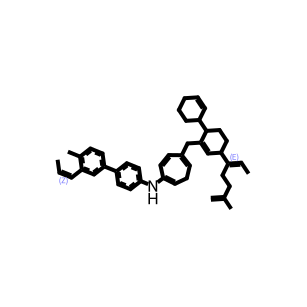 C=C(C)CC/C(=C\C)C1C=C(CC2=CCC=C(Nc3ccc(-c4ccc(C)c(/C=C\C)c4)cc3)C=C2)C(C2C=CCCC2)CC1